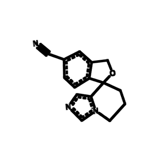 N#Cc1ccc2c(c1)COC21CCCn2cncc21